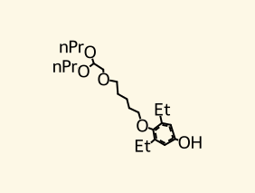 CCCOC(COCCCCCOc1c(CC)cc(O)cc1CC)OCCC